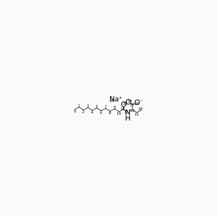 CCCCCCCCCCCC(=O)NC(CC)C(=O)[O-].[Na+]